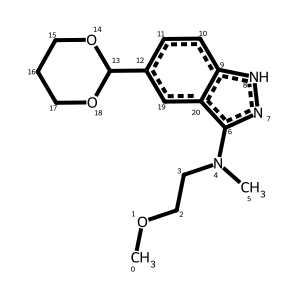 COCCN(C)c1n[nH]c2ccc(C3OCCCO3)cc12